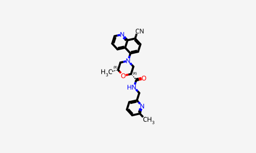 Cc1cccc(CNC(=O)[C@H]2CN(c3ccc(C#N)c4ncccc34)C[C@@H](C)O2)n1